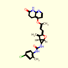 C=C1/C(=C\C=C(/C)Oc2ccnc3c2CCC(=O)N3)O[C@@H]2[C@@H](NC(=O)Nc3ccc(Cl)cc3C)[C@H]12